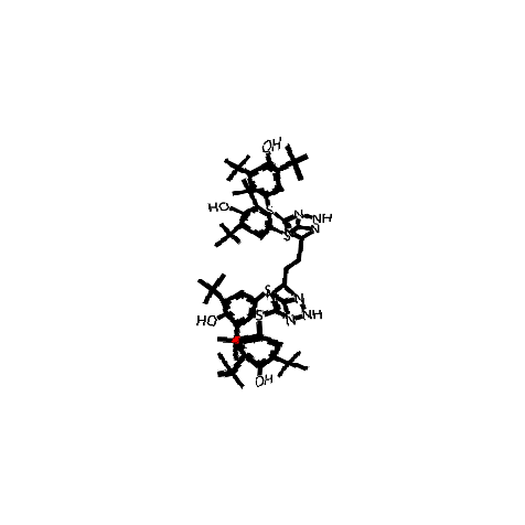 CC(C)(C)c1cc(SC2=NC(CCC3N=C(Sc4cc(C(C)(C)C)c(O)c(C(C)(C)C)c4)N4NN3C4Sc3cc(C(C)(C)C)c(O)c(C(C)(C)C)c3)N3NN2C3Sc2cc(C(C)(C)C)c(O)c(C(C)(C)C)c2)cc(C(C)(C)C)c1O